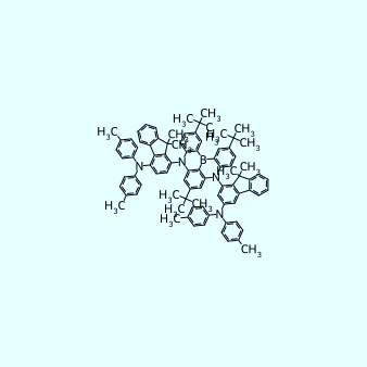 Cc1ccc(N(c2ccc(C)cc2)c2cc3c(c(N4c5ccc(C(C)(C)C)cc5B5c6cc(C(C)(C)C)ccc6N(c6ccc(N(c7ccc(C)cc7)c7ccc(C)cc7)c7c6C(C)(C)c6ccccc6-7)c6cc(C(C)(C)C)cc4c65)c2)C(C)(C)c2ccccc2-3)cc1